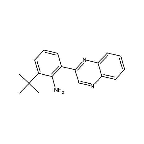 CC(C)(C)c1cccc(-c2cnc3ccccc3n2)c1N